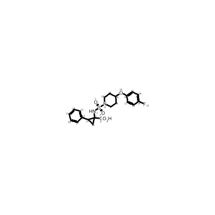 O=C(O)C1(NS(=O)(=O)N2CCC(Oc3ccc(F)cc3)CC2)CC1c1ccccc1